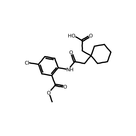 COC(=O)c1cc(Cl)ccc1NC(=O)CC1(CC(=O)O)CCCCC1